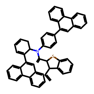 C=CC1c2ccccc2SC1C(=C)N(c1ccc(-c2cc3ccccc3c3ccccc23)cc1)C1CC=CC=C1c1cc2ccccc2c2ccccc12